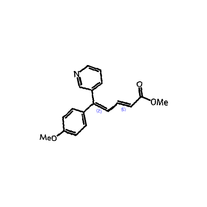 COC(=O)/C=C/C=C(/c1ccc(OC)cc1)c1cccnc1